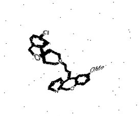 COc1ccc2c(c1)/C(=C/CCN1CCC3(CC1)OCc1ccc(Cl)cc13)c1cccnc1CO2